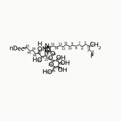 C=C(CCF)CCCCCCCCCCCn1nnn([C@@H](COC2OC(CO)C(O)C(O)C2O)[C@H](O)[C@H](O)CCCCCCCCCCCCCC)c1=O